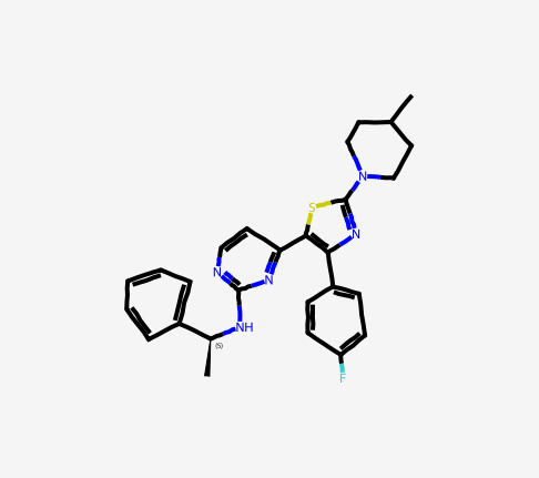 CC1CCN(c2nc(-c3ccc(F)cc3)c(-c3ccnc(N[C@@H](C)c4ccccc4)n3)s2)CC1